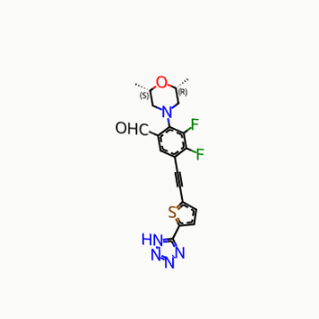 C[C@@H]1CN(c2c(C=O)cc(C#Cc3ccc(-c4nnn[nH]4)s3)c(F)c2F)C[C@H](C)O1